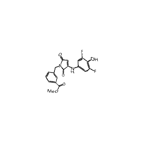 COC(=O)c1cccc(CN2C(=O)C=C(Nc3cc(F)c(O)c(F)c3)C2=O)c1